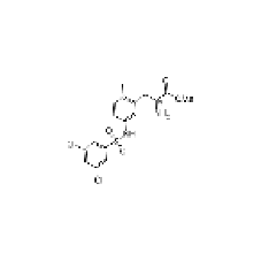 COC(=O)[C@@H](N)Cc1cc(NS(=O)(=O)c2cc(Cl)cc(Cl)c2)ccc1C